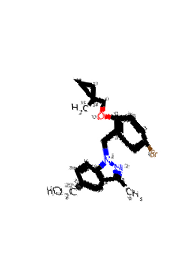 Cc1nn(Cc2cc(Br)ccc2OCC2(C)CC2)c2ccc(C(=O)O)cc12